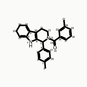 Cc1ccc(C2c3[nH]c4c(c3CCN2C(=O)c2cccc(C)c2)=CCCC=4)cc1